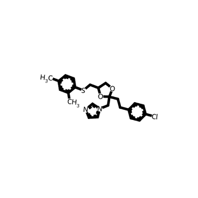 Cc1ccc(SCC2COC(CCc3ccc(Cl)cc3)(Cn3ccnc3)O2)c(C)c1